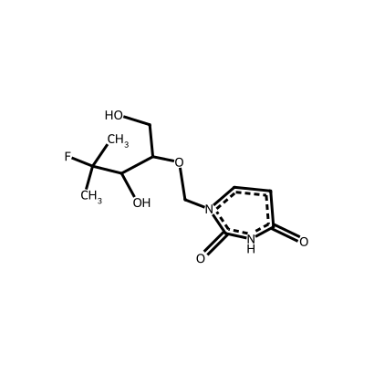 CC(C)(F)C(O)C(CO)OCn1ccc(=O)[nH]c1=O